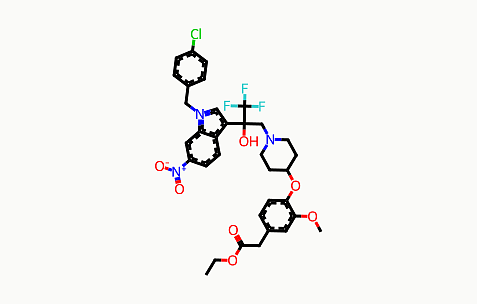 CCOC(=O)Cc1ccc(OC2CCN(CC(O)(c3cn(Cc4ccc(Cl)cc4)c4cc([N+](=O)[O-])ccc34)C(F)(F)F)CC2)c(OC)c1